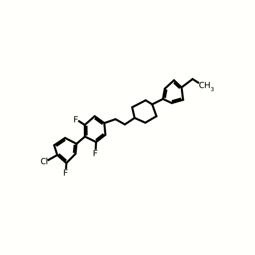 CCc1ccc(C2CCC(CCc3cc(F)c(-c4ccc(Cl)c(F)c4)c(F)c3)CC2)cc1